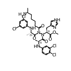 COC(=O)[C@H](Cc1c[nH]cn1)N(C(=O)[C@H](C)Nc1ccc(Cl)c(Cl)c1)N(C(=O)CCCCC(C)N)C(=O)[C@H](C)Nc1cc(Cl)cc(Cl)c1